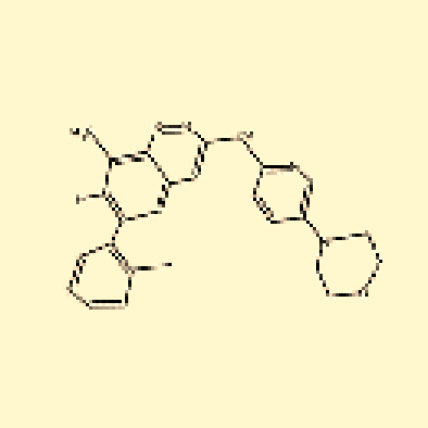 Cc1ccncc1-c1cc2cc(Nc3ccc(N4CCOCC4)cn3)nnc2c(N)c1F